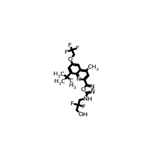 Cc1cc(-c2nnc(NCC(F)(F)CO)o2)nc2c(C(C)(C)C)cc(OCC(F)(F)F)cc12